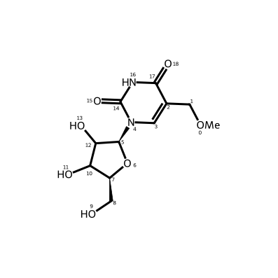 COCc1cn([C@H]2O[C@@H](CO)C(O)C2O)c(=O)[nH]c1=O